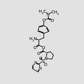 CN(C)C(=O)Oc1ccc(C[C@H](N)C(=O)OC(=O)[C@H]2CCCN2S(=O)(=O)c2ncccn2)cc1